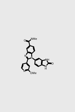 CNC(=O)c1ccc2c(c1)nc(-c1ccnc(OC)c1)n2-c1ccc2[nH]c(=O)[nH]c2c1